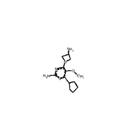 COc1c(C2CCCC2)nc(N)nc1N1CC(N)C1